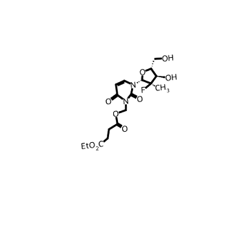 CCOC(=O)CCC(=O)OCn1c(=O)ccn([C@@H]2O[C@H](CO)[C@@H](O)[C@@]2(C)F)c1=O